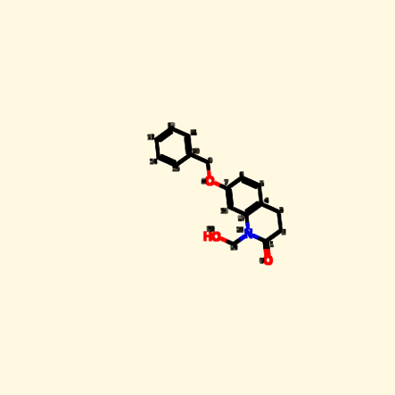 O=C1CCc2ccc(OCc3ccccc3)cc2N1CO